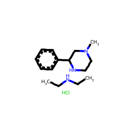 CCNCC.CN1CCNC(c2ccccc2)C1.Cl